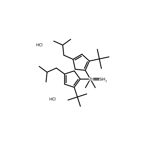 CC(C)CC1=CC(C(C)(C)C)=[C]([Zr]([CH3])([CH3])(=[SiH2])[C]2=C(C(C)(C)C)C=C(CC(C)C)C2)C1.Cl.Cl